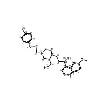 COc1ccc2nccc([C@H](O)CC[C@@H]3CCN(CCSc4ccc(Cl)cc4)C[C@@H]3CO)c2c1